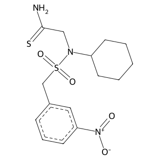 NC(=S)CN(C1CCCCC1)S(=O)(=O)Cc1cccc([N+](=O)[O-])c1